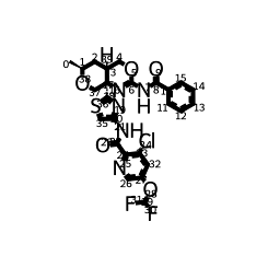 C[C@H]1C[C@H]2COC(NC(=O)c3ccccc3)=N[C@@]2(c2nc(NC(=O)c3ncc(OC(F)F)cc3Cl)cs2)CO1